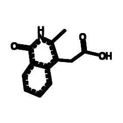 Cc1[nH]c(=O)c2ccccc2c1CC(=O)O